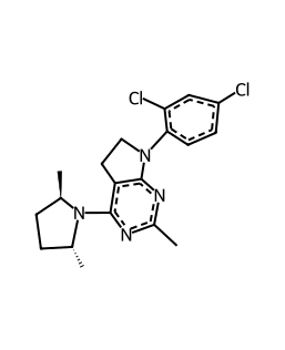 Cc1nc2c(c(N3[C@H](C)CC[C@H]3C)n1)CCN2c1ccc(Cl)cc1Cl